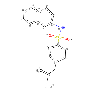 C=C(Cc1ccc(S(=O)(=O)Nc2ccc3ccccc3c2)cc1)C(=O)O